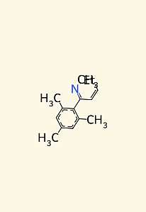 CC/C=C\C(=NC)c1c(C)cc(C)cc1C